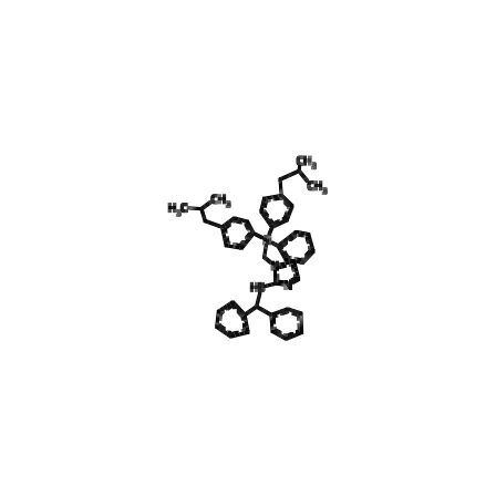 CC(C)Cc1ccc([Si](Cn2ccnc2BC(c2ccccc2)c2ccccc2)(c2ccccc2)c2ccc(CC(C)C)cc2)cc1